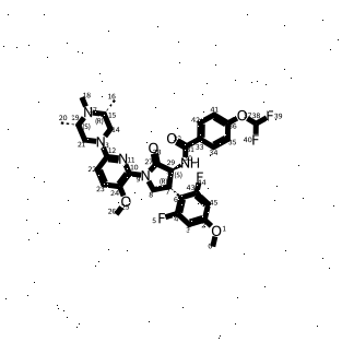 COc1cc(F)c([C@@H]2CN(c3nc(N4C[C@@H](C)N(C)[C@@H](C)C4)ccc3OC)C(=O)[C@H]2NC(=O)c2ccc(OC(F)F)cc2)c(F)c1